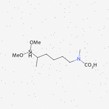 CO[SiH](OC)C(C)CCCCN(C)C(=O)O